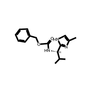 Cc1c[nH]c([C@@H](NC(=O)OCc2ccccc2)C(C)C)n1